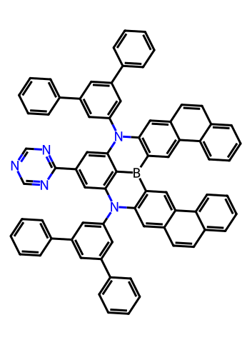 c1ccc(-c2cc(-c3ccccc3)cc(N3c4cc5ccc6ccccc6c5cc4B4c5cc6c(ccc7ccccc76)cc5N(c5cc(-c6ccccc6)cc(-c6ccccc6)c5)c5cc(-c6ncncn6)cc3c54)c2)cc1